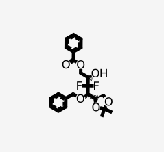 CC1(C)OC[C@H]([C@@H](OCc2ccccc2)C(F)(F)[C@H](O)COC(=O)c2ccccc2)O1